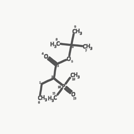 CCC(C(=O)OC(C)(C)C)P(C)(C)=O